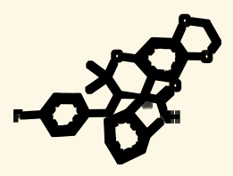 CC1(C)Oc2cc3c(cc2[C@@]2(C(=O)Nc4ccccc42)C1Cc1ccc(F)cc1)OCCO3